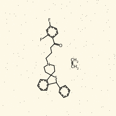 C=C.O=C(CCCN1CCC2(CC1)SC(c1ccccc1)c1ccccc12)c1ccc(F)cc1F